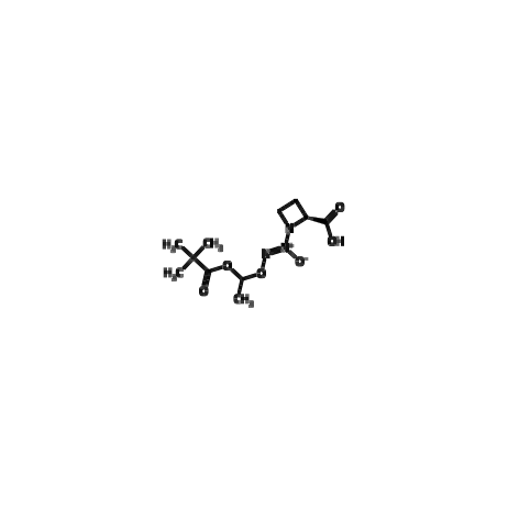 CC(ON=[N+]([O-])N1CC[C@H]1C(=O)O)OC(=O)C(C)(C)C